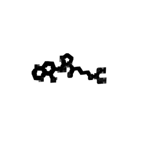 O=C(CCCON(O)O)N1CCN=C1Nc1ccc2nccnc2c1Br